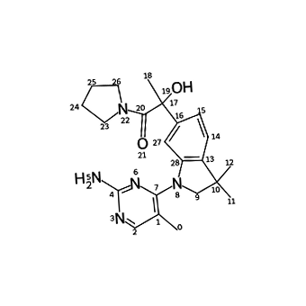 Cc1cnc(N)nc1N1CC(C)(C)c2ccc(C(C)(O)C(=O)N3CCCC3)cc21